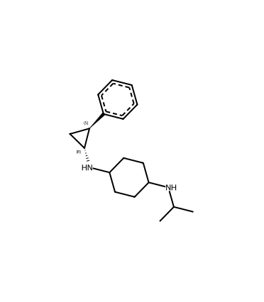 CC(C)NC1CCC(N[C@@H]2C[C@H]2c2ccccc2)CC1